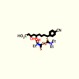 CCN(CC)C(=S)SSC(=S)N(CC)CC.N#Cc1ccc(CCCCC(O)CC(O)CC(=O)O)cc1